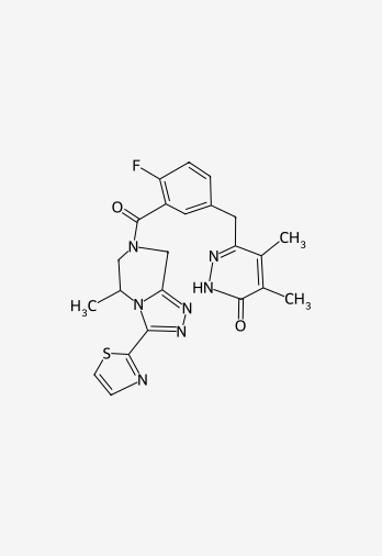 Cc1c(Cc2ccc(F)c(C(=O)N3Cc4nnc(-c5nccs5)n4C(C)C3)c2)n[nH]c(=O)c1C